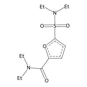 CCN(CC)C(=O)c1ccc(S(=O)(=O)N(CC)CC)o1